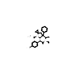 CC(C)(C)OC(=O)N1C([C@@H](C(=O)N2C(=O)OCC2Cc2ccccc2)c2ccc(Cl)cc2)CCC12CC2